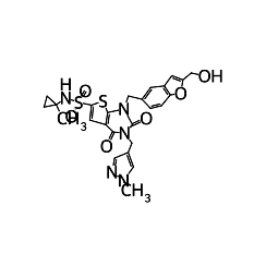 Cn1cc(Cn2c(=O)c3cc(S(=O)(=O)NC4(C)CC4)sc3n(Cc3ccc4oc(CO)cc4c3)c2=O)cn1